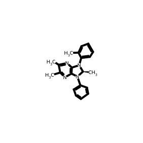 Cc1ccccc1N1c2nc(C)c(C)nc2N(c2ccccc2)[C@@H]1C